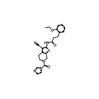 CCOc1ccccc1CCC(=O)Nc1sc2c(c1C#N)CCN(C(=O)n1ccnc1)C2